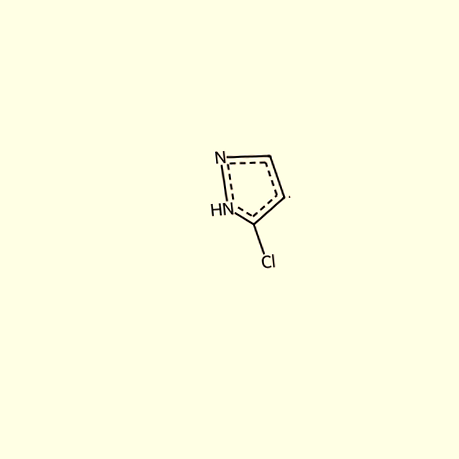 Clc1[c]cn[nH]1